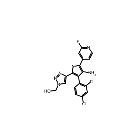 Nc1c(-c2ccnc(F)c2)sc(-c2cn(CO)nn2)c1-c1ccc(Cl)cc1Cl